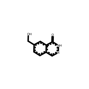 O=c1[nH]ncc2ccc(CO)cc12